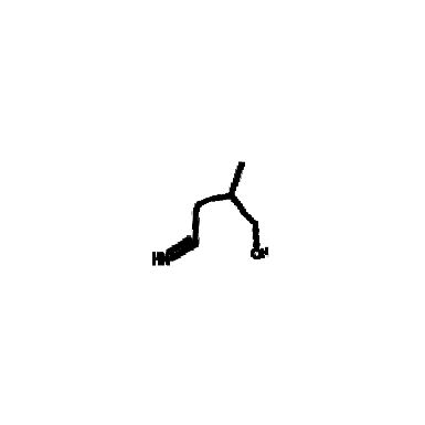 CC(CO)CC=N